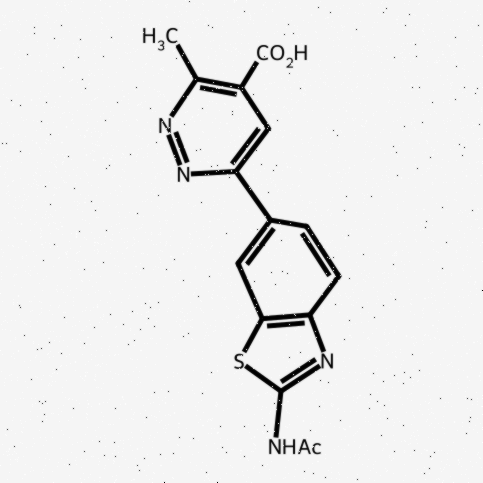 CC(=O)Nc1nc2ccc(-c3cc(C(=O)O)c(C)nn3)cc2s1